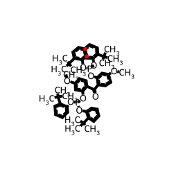 COc1ccc(C(=O)c2ccc(OC)cc2OP(Oc2ccccc2C(C)(C)C)Oc2ccccc2C(C)(C)C)c(OP(Oc2ccccc2C(C)(C)C)Oc2ccccc2C(C)(C)C)c1